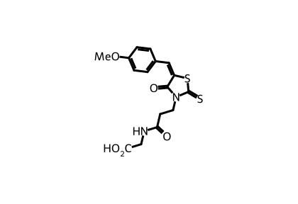 COc1ccc(/C=C2/SC(=S)N(CCC(=O)NCC(=O)O)C2=O)cc1